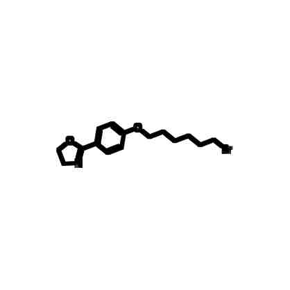 BrCCCCCCOc1ccc(C2=NCCO2)cc1